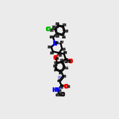 O=NNC(=O)/C=C/c1ccc2c(c1)C(=O)CC1(CCN(Cc3ccccc3Cl)CC1)O2